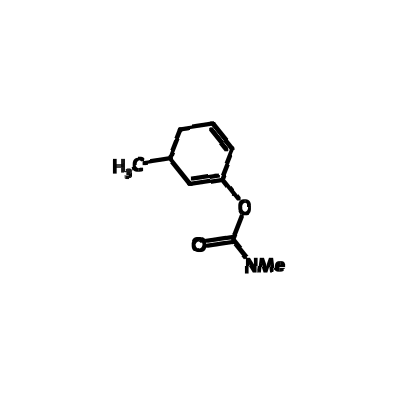 CNC(=O)OC1=CC(C)CC=C1